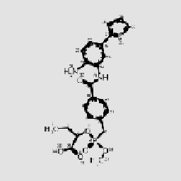 CCC(OP(=O)(Cc1ccc(C(=O)Nc2cc(-c3cccs3)ccc2N)cc1)OC)C(=O)O